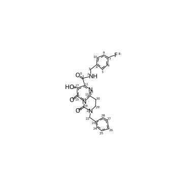 O=C(NCc1ccc(F)cc1)c1nc2n(c(=O)c1O)C(=O)N(Cc1ccccc1)CC2